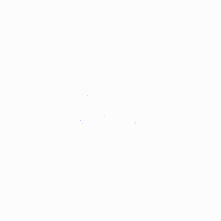 [CH2]C(O)CNC(=N)N